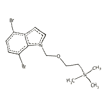 C[Si](C)(C)CCOCn1ccc2c(Br)ccc(Br)c21